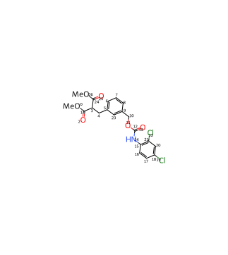 COC(=O)C(Cc1cccc(COC(=O)Nc2ccc(Cl)cc2Cl)c1)C(=O)OC